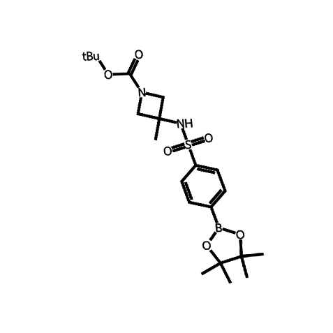 CC1(NS(=O)(=O)c2ccc(B3OC(C)(C)C(C)(C)O3)cc2)CN(C(=O)OC(C)(C)C)C1